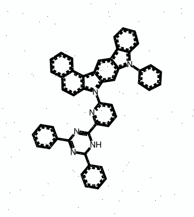 c1ccc(C2=NC(c3ccccc3)NC(c3cccc(-n4c5cc6c(cc5c5c7ccccc7ccc54)c4ccccc4n6-c4ccccc4)n3)=N2)cc1